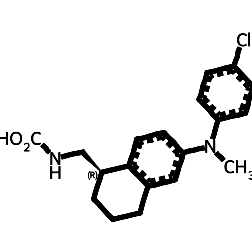 CN(c1ccc(Cl)cc1)c1ccc2c(c1)CCC[C@H]2CNC(=O)O